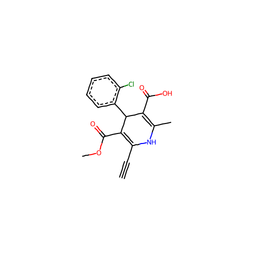 C#CC1=C(C(=O)OC)C(c2ccccc2Cl)C(C(=O)O)=C(C)N1